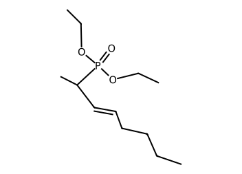 CCCCC=CC(C)P(=O)(OCC)OCC